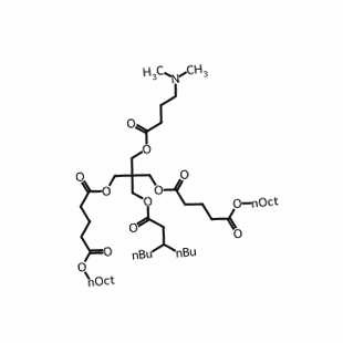 CCCCCCCCOC(=O)CCCC(=O)OCC(COC(=O)CCCC(=O)OCCCCCCCC)(COC(=O)CCCN(C)C)COC(=O)CC(CCCC)CCCC